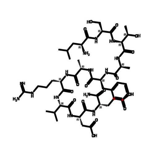 CC(C)C[C@H](N)C(=O)N[C@@H](CO)C(=O)N[C@H](C(=O)N[C@@H](C)C(=O)N[C@@H](Cc1ccccc1)C(=O)N[C@@H](C)C(=O)N[C@@H](CCCNC(=N)N)C(=O)N[C@H](C(=O)N[C@@H](CC(=O)O)C(=O)N[C@@H](CCC(=O)O)C(N)=O)C(C)C)[C@@H](C)O